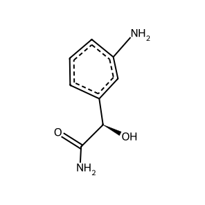 NC(=O)[C@H](O)c1cccc(N)c1